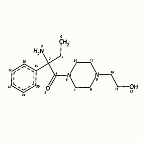 [CH2]CC(N)(C(=O)N1CCN(CCO)CC1)c1ccccc1